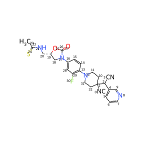 [C-]#[N+]C1(C(C#N)c2cccnc2)CCN(c2ccc(N3C[C@H](CNC(C)=S)OC3=O)cc2F)CC1